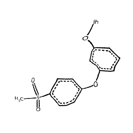 CC(C)Oc1cccc(Oc2ccc(S(C)(=O)=O)cc2)c1